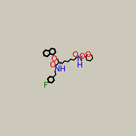 O=C(CCCC/C=C(\COc1cccc2ccccc12)C(=O)NCCc1ccc(F)cc1)NOC1CCCCO1